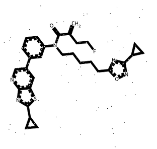 C=C(CCF)C(=O)N(CCCCCc1nc(C2CC2)no1)c1cccc(-c2cnc3nc(C4CC4)sc3c2)c1